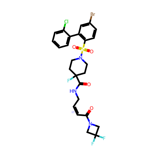 O=C(/C=C\CNC(=O)C1(F)CCN(S(=O)(=O)c2ccc(Br)cc2-c2ccccc2Cl)CC1)N1CC(F)(F)C1